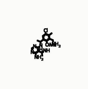 COc1c(C(C)Nc2ncnc(N)c2C(C)=N)cc(Cl)c(C)c1CN